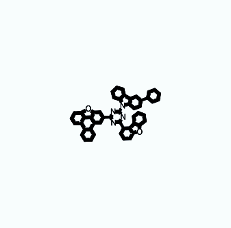 c1ccc(-c2ccc3c(c2)c2ccccc2n3-c2nc(-c3cc4oc5cccc6c7ccccc7c(c3)c4c56)nc(-c3cccc4oc5ccccc5c34)n2)cc1